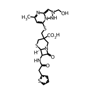 CC1=NC2=CN(CO)NN2C(SCC2(C(=O)O)CS[C@@H]3C(NC(=O)Cc4cccs4)C(=O)N3C2)=C1